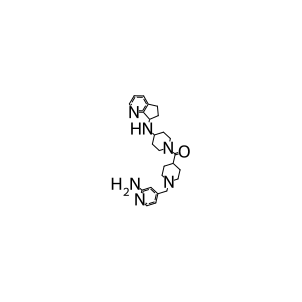 Nc1cc(CN2CCC(C(=O)N3CCC(NC4CCc5cccnc54)CC3)CC2)ccn1